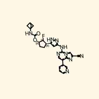 N#Cc1cn2c(Nc3cc([C@H]4CC[C@@H](OC(=O)NC56CC(C5)C6)[C@H]4F)[nH]n3)ncc(-c3cccnc3)c2n1